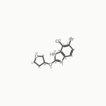 Clc1c(Br)ccc2nc(OC3CCOC3)[nH]c12